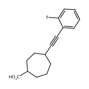 O=C(O)C1CCCC(C#Cc2ccccc2F)CC1